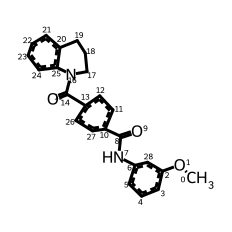 COc1cccc(NC(=O)c2ccc(C(=O)N3CCCc4ccccc43)cc2)c1